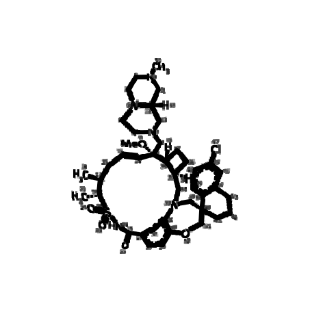 CO[C@@]1(CN2CCN3CCN(C)C[C@@H]3C2)/C=C/C[C@H](C)[C@@H](C)S(=O)(=O)NC(=O)c2ccc3c(c2)N(C[C@@H]2CC[C@H]21)C[C@@]1(CCCc2cc(Cl)ccc21)CO3